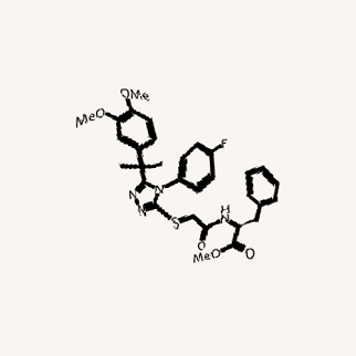 COC(=O)[C@H](Cc1ccccc1)NC(=O)CSc1nnc(C(C)(C)c2ccc(OC)c(OC)c2)n1-c1ccc(F)cc1